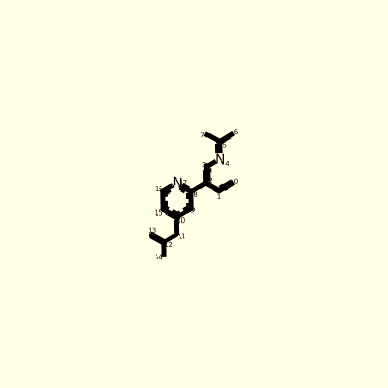 C=C/C(=C\N=C(C)C)c1cc(CC(=C)C)ccn1